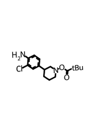 CC(C)(C)C(=O)ON1CCCC(c2ccc(N)c(Cl)c2)C1